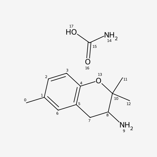 Cc1ccc2c(c1)CC(N)C(C)(C)O2.NC(=O)O